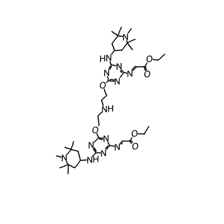 CCOC(=O)/C=N/c1nc(NC2CC(C)(C)N(C)C(C)(C)C2)nc(OCCNCCOc2nc(/N=C/C(=O)OCC)nc(NC3CC(C)(C)N(C)C(C)(C)C3)n2)n1